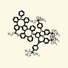 CC(S)c1ccc2c(c1)c1c(c3ccccc3n(-c3ccccc3)c3ccccc23)=CC2c3ccccc3N(C3=CC4=C5B(c6cc(C(C)(C)C)ccc6C6C(C7=CC=C(C(C)(C)C)CC7)C6C5C3)c3cc(C(C)(C)C)ccc3N4c3ccc(C(C)(C)C)cc3)C3C=CC=CC3c3ccccc3C2C=1